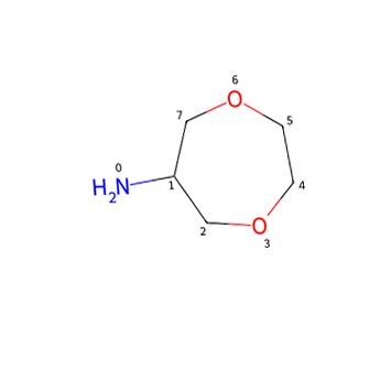 NC1COCCOC1